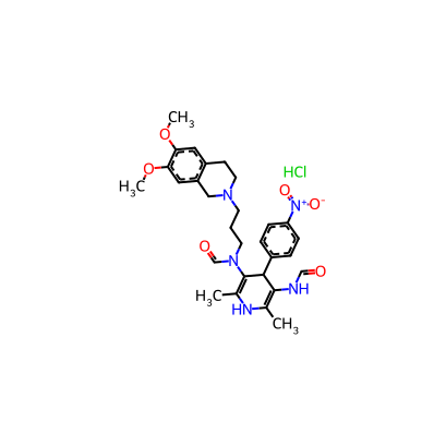 COc1cc2c(cc1OC)CN(CCCN(C=O)C1=C(C)NC(C)=C(NC=O)C1c1ccc([N+](=O)[O-])cc1)CC2.Cl